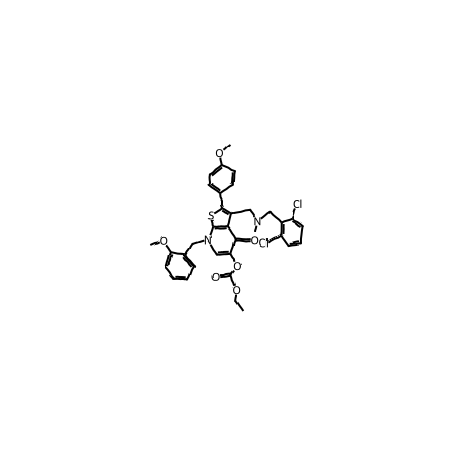 CCOC(=O)Oc1cn(Cc2ccccc2OC)c2sc(-c3ccc(OC)cc3)c(CN(C)Cc3c(Cl)cccc3Cl)c2c1=O